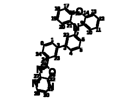 c1cc(-c2cccc(N3c4ccccc4Oc4ccccc43)c2)cc(-c2nc3nccnc3o2)c1